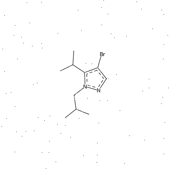 CC(C)Cn1n[c]c(Br)c1C(C)C